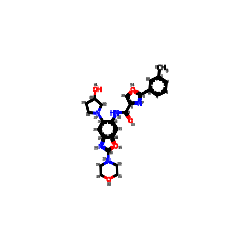 Cc1cccc(-c2nc(C(=O)Nc3cc4oc(N5CCOCC5)nc4cc3N3CCC(O)C3)co2)c1